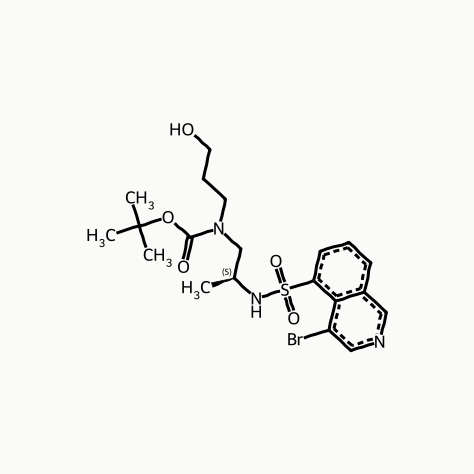 C[C@@H](CN(CCCO)C(=O)OC(C)(C)C)NS(=O)(=O)c1cccc2cncc(Br)c12